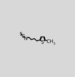 Cc1ccc(CCCCN=C=S)s1